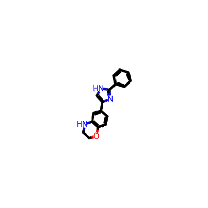 c1ccc(-c2nc(-c3ccc4c(c3)NCCO4)c[nH]2)cc1